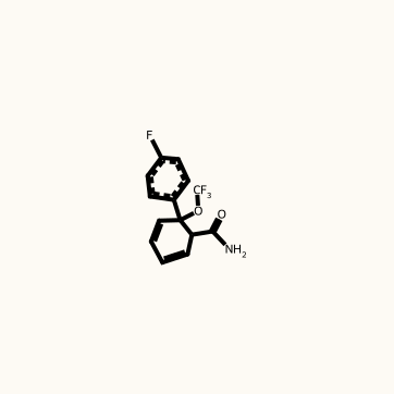 NC(=O)C1C=CC=CC1(OC(F)(F)F)c1ccc(F)cc1